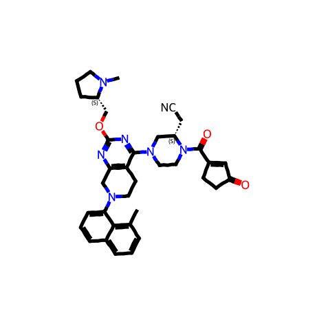 Cc1cccc2cccc(N3CCc4c(nc(OC[C@@H]5CCCN5C)nc4N4CCN(C(=O)C5=CC(=O)CC5)[C@@H](CC#N)C4)C3)c12